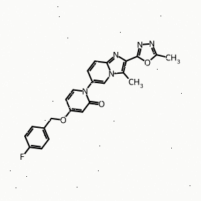 Cc1nnc(-c2nc3ccc(-n4ccc(OCc5ccc(F)cc5)cc4=O)cn3c2C)o1